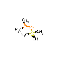 C#S(C)(C)PP(C)C